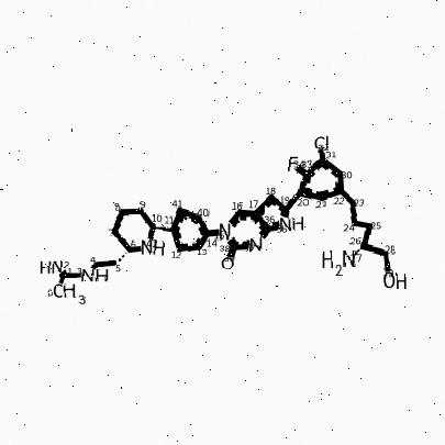 CC(=N)NCC[C@@H]1CCC[C@@H](c2ccc(-n3cc4cc(-c5cc(CCC[C@@H](N)CO)cc(Cl)c5F)[nH]c4nc3=O)cc2)N1